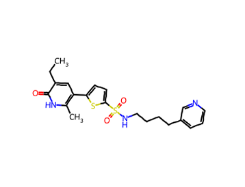 CCc1cc(-c2ccc(S(=O)(=O)NCCCCc3cccnc3)s2)c(C)[nH]c1=O